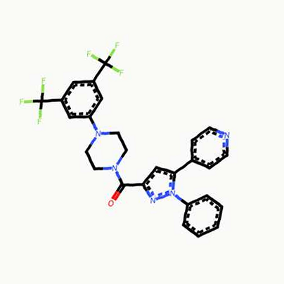 O=C(c1cc(-c2ccncc2)n(-c2ccccc2)n1)N1CCN(c2cc(C(F)(F)F)cc(C(F)(F)F)c2)CC1